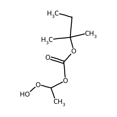 CCC(C)(C)OC(=O)OC(C)OO